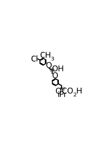 Cc1cc(OC[C@@H](O)COc2cccc(C[C@H](OC(C)C)C(=O)O)c2)ccc1Cl